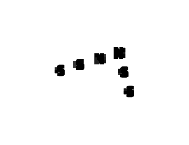 [N].[N].[S].[S].[S].[S]